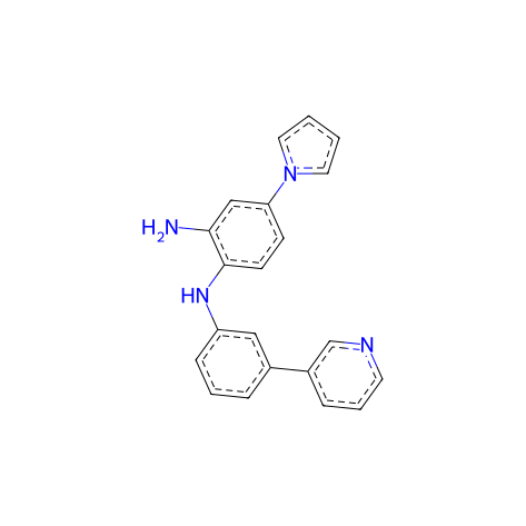 Nc1cc(-n2cccc2)ccc1Nc1cccc(-c2cccnc2)c1